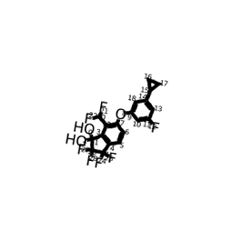 OC1(O)c2c(ccc(Oc3cc(F)cc(C4CC4)c3)c2C(F)F)C(F)(F)C1(F)F